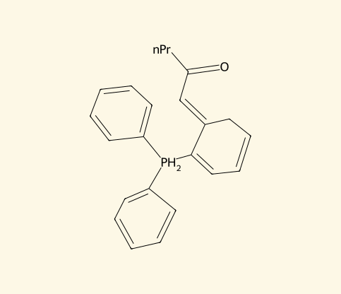 CCCC(=O)C=C1CC=CC=C1[PH2](c1ccccc1)c1ccccc1